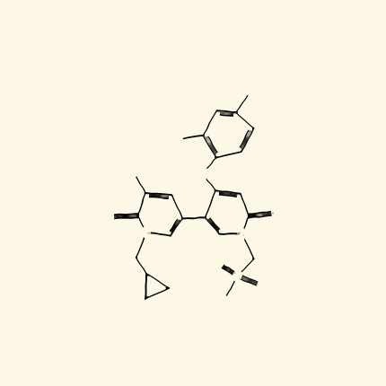 Cc1cc(-c2cn(CS(C)(=O)=O)c(=O)cc2Oc2ccc(F)cc2F)cn(CC2CC2)c1=O